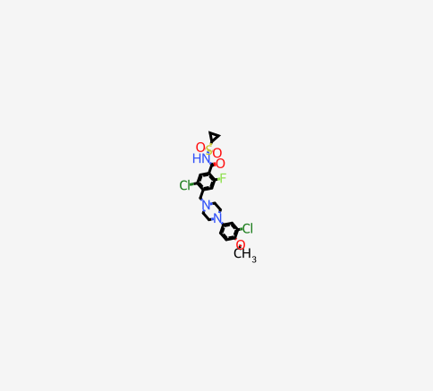 COc1ccc(N2CCN(Cc3cc(F)c(C(=O)NS(=O)(=O)C4CC4)cc3Cl)CC2)cc1Cl